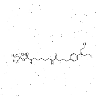 CC(C)(C)OC(=O)NCCCCCNC(=O)CCCc1ccc(N(CCCl)CCCl)cc1